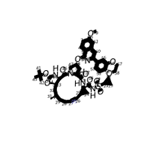 COc1ccc2c(O[C@@H]3C[C@H]4C(=O)N[C@]5(C(=O)NS(=O)(=O)C6CC6)CC5/C=C\CC[C@@H](C)C[C@@H](C)[C@H](NC(=O)OC(C)(C)C)C(=O)N4C3)nc(-c3ccc4c(c3)OCCO4)cc2c1